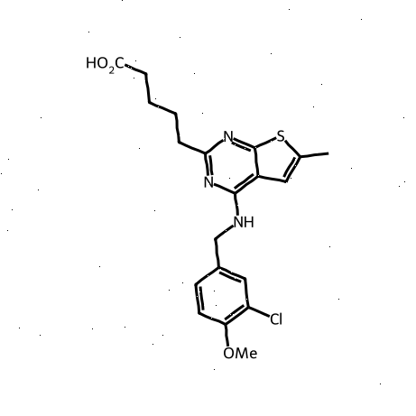 COc1ccc(CNc2nc(CCCCC(=O)O)nc3sc(C)cc23)cc1Cl